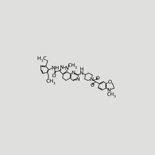 CCc1cccc(CC)c1NC(=O)c1nn(C)c2c1CCc1cnc(NC3CCN(S(=O)(=O)c4ccc5c(c4)OCCN5C)CC3)nc1-2